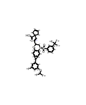 O=C(O)C1(/C=C/C2CN(S(=O)(=O)c3cccc(C(F)(F)F)c3)c3cc4c(cc3O2)C4c2cc(F)cc(OC(F)F)c2)CC=CC1